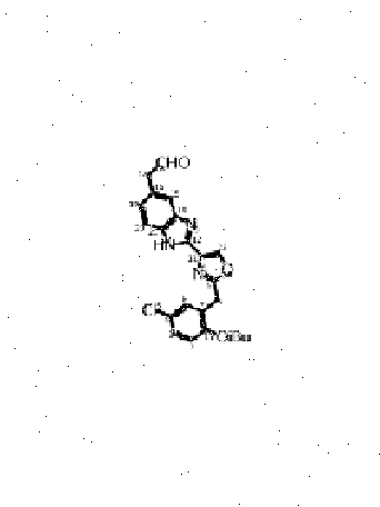 CC(C)COc1ccc(Cl)cc1Cc1nc(-c2nc3cc(CC=O)ccc3[nH]2)co1